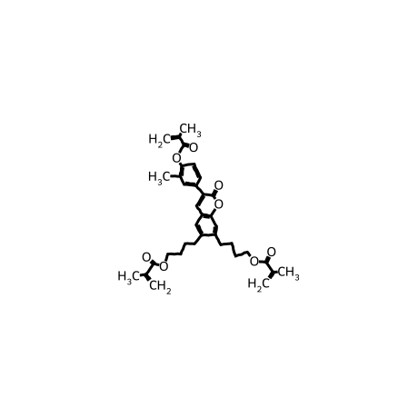 C=C(C)C(=O)OCCCCc1cc2cc(-c3ccc(OC(=O)C(=C)C)c(C)c3)c(=O)oc2cc1CCCCOC(=O)C(=C)C